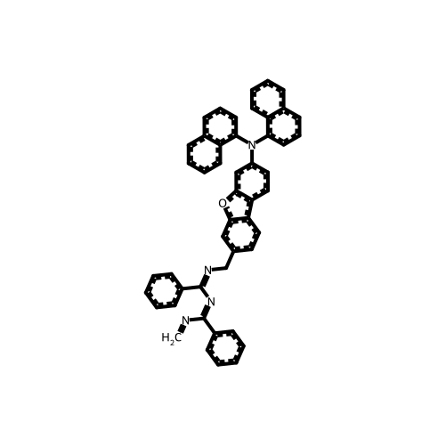 C=N/C(=N\C(=N/Cc1ccc2c(c1)oc1cc(N(c3cccc4ccccc34)c3cccc4ccccc34)ccc12)c1ccccc1)c1ccccc1